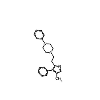 Cc1cnc(CCN2CCN(c3ccccc3)CC2)n1-c1ccccc1